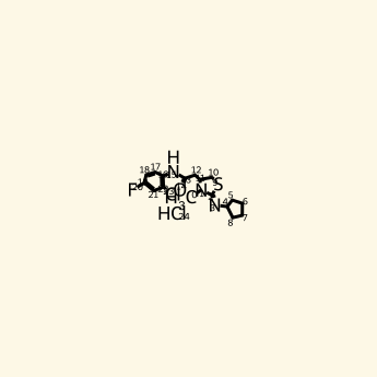 CN1/C(=N/C2CCCC2)SCC1CC(=O)Nc1ccc(F)cc1Cl.Cl